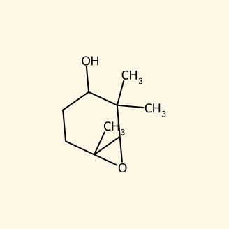 CC12CCC(O)C(C)(C)C1O2